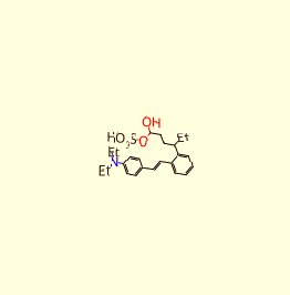 CCC(CCC(O)OS(=O)(=O)O)c1ccccc1C=Cc1ccc(N(CC)CC)cc1